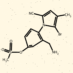 Cc1cc(C#N)n(-c2ccc(OS(C)(=O)=O)cc2CN)c1Br